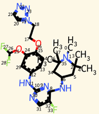 CN1C(C)(C)CC(Nc2nc(Nc3ccc(OCCn4ccnn4)c(OC(F)F)c3)ncc2F)CC1(C)C